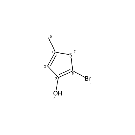 Cc1cc(O)c(Br)s1